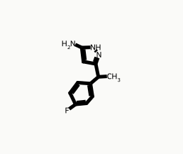 CC(c1ccc(F)cc1)c1cc(N)[nH]n1